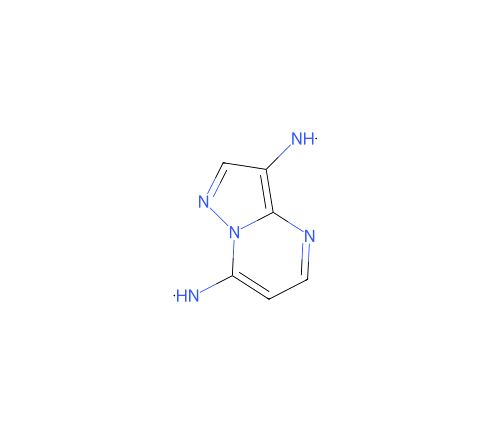 [NH]c1cnn2c([NH])ccnc12